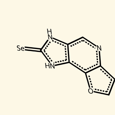 [Se]=c1[nH]c2cnc3ccoc3c2[nH]1